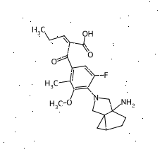 CC/C=C(/C(=O)O)C(=O)c1cc(F)c(N2CC3(N)CCC4CC43C2)c(OC)c1C